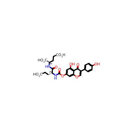 O=C(O)CC[C@@H](NC(=O)[C@@H](CCC(=O)O)NC(=O)Oc1cc(O)c2c(=O)c(-c3ccc(O)cc3)coc2c1)C(=O)O